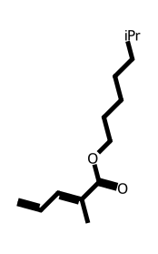 C=CC=C(C)C(=O)OCCCCCC(C)C